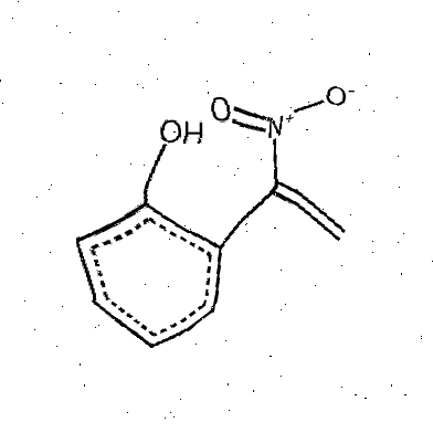 C=C(c1ccccc1O)[N+](=O)[O-]